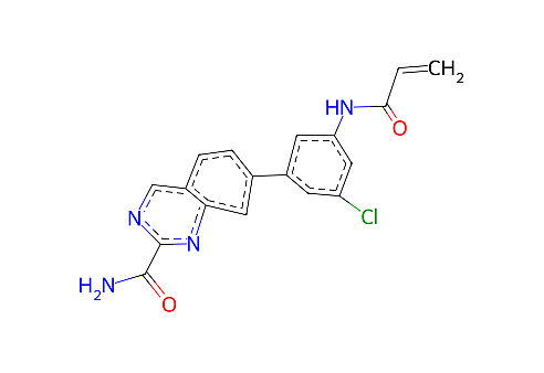 C=CC(=O)Nc1cc(Cl)cc(-c2ccc3cnc(C(N)=O)nc3c2)c1